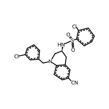 N#Cc1ccc2c(c1)C[C@H](NS(=O)(=O)c1ccccc1Cl)CN2Cc1cccc(Cl)c1